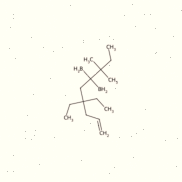 BC(B)(CC(CC)(CC)CC=C)C(C)(C)CC